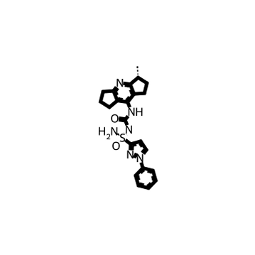 C[C@@H]1CCc2c1nc1c(c2NC(=O)N=[S@](N)(=O)c2ccn(-c3ccccc3)n2)CCC1